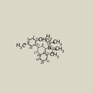 Cc1ccc(O)c(C(CCN(C(C)C)C(C)C)Cc2ccccc2)c1